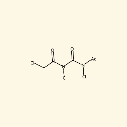 CC(=O)N(Cl)C(=O)N(Cl)C(=O)CCl